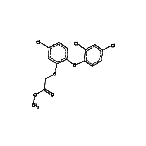 COC(=O)COc1cc(Cl)ccc1Oc1ccc(Cl)cc1Cl